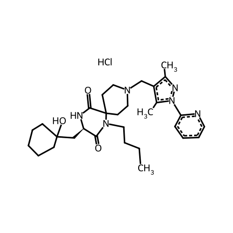 CCCCN1C(=O)[C@@H](CC2(O)CCCCC2)NC(=O)C12CCN(Cc1c(C)nn(-c3ccccn3)c1C)CC2.Cl